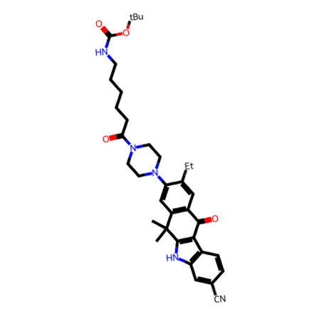 CCc1cc2c(cc1N1CCN(C(=O)CCCCCNC(=O)OC(C)(C)C)CC1)C(C)(C)c1[nH]c3cc(C#N)ccc3c1C2=O